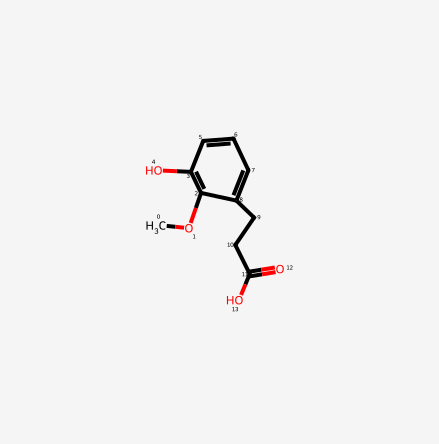 COc1c(O)cccc1CCC(=O)O